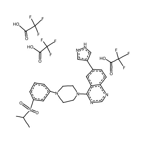 CC(C)S(=O)(=O)c1cccc(N2CCN(c3ncnc4ccc(-c5cn[nH]c5)cc34)CC2)c1.O=C(O)C(F)(F)F.O=C(O)C(F)(F)F.O=C(O)C(F)(F)F